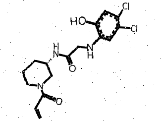 C=CC(=O)N1CCC[C@H](NC(=O)CNc2cc(Cl)c(Cl)cc2O)C1